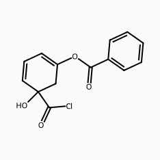 O=C(OC1=CC=CC(O)(C(=O)Cl)C1)c1ccccc1